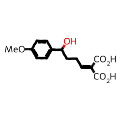 COc1ccc(C(O)CCC=C(C(=O)O)C(=O)O)cc1